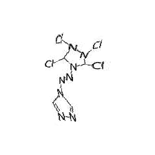 ClC1N(N=Nn2cnnc2)C(Cl)N(Cl)N1Cl